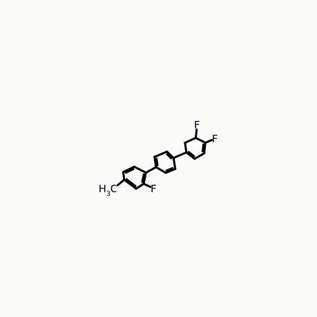 Cc1ccc(-c2ccc(C3=CC=C(F)C(F)C3)cc2)c(F)c1